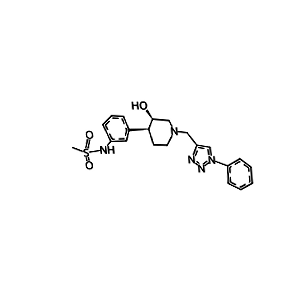 CS(=O)(=O)Nc1cccc([C@@H]2CCN(Cc3cn(-c4ccccc4)nn3)C[C@@H]2O)c1